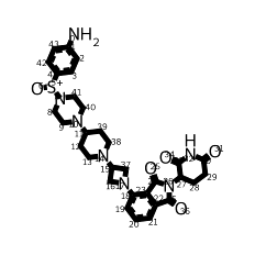 Nc1ccc([S+]([O-])N2CCN(C3CCN(C4CN(c5cccc6c5C(=O)N(C5CCC(=O)NC5=O)C6=O)C4)CC3)CC2)cc1